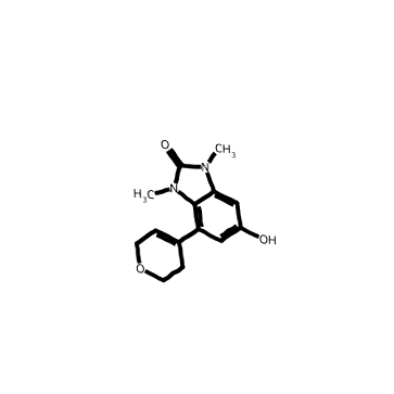 Cn1c(=O)n(C)c2c(C3=CCOCC3)cc(O)cc21